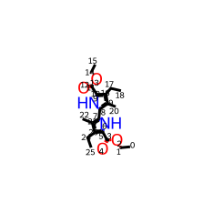 CCOC(=O)c1[nH]c(-c2[nH]c(C(=O)OCC)c(CC)c2C)c(C)c1CC